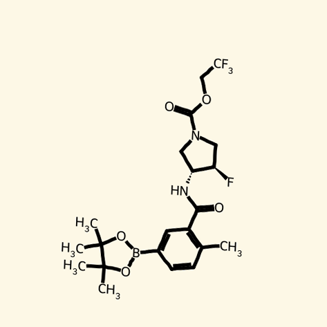 Cc1ccc(B2OC(C)(C)C(C)(C)O2)cc1C(=O)N[C@@H]1CN(C(=O)OCC(F)(F)F)C[C@H]1F